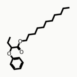 CCCCCCCCCCCOC(=O)C(CC)Oc1ccccc1